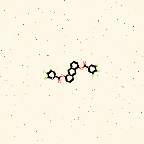 O=C(Oc1cccc2cc3c(OC(=O)c4cc(F)c(F)c(F)c4)cccc3cc12)c1cc(F)c(F)c(F)c1